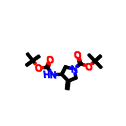 C=C1CN(C(=O)OC(C)(C)C)CC1NC(=O)OC(C)(C)C